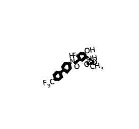 CS(=O)(=O)Nc1cc(C(=O)Nc2ccc(-c3ccc(C(F)(F)F)cc3)cc2)c(F)cc1O